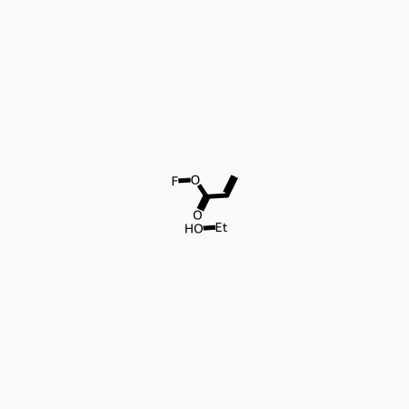 C=CC(=O)OF.CCO